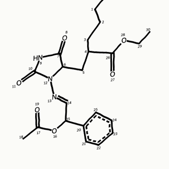 CCCCC(CC1C(=O)NC(=O)N1/N=C/C(OC(C)=O)c1ccccc1)C(=O)OCC